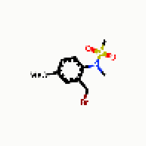 COc1ccc(N(C)S(C)(=O)=O)c(CBr)c1